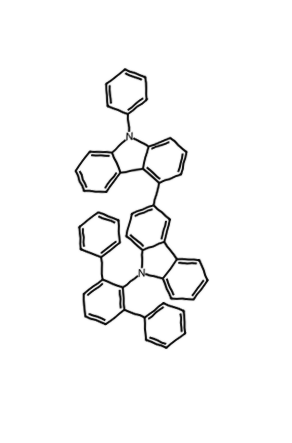 c1ccc(-c2cccc(-c3ccccc3)c2-n2c3ccccc3c3cc(-c4cccc5c4c4ccccc4n5-c4ccccc4)ccc32)cc1